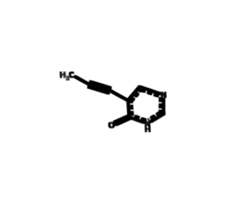 CC#Cc1cnc[nH]c1=O